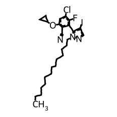 CCCCCCCCCCCCCCn1ncc(I)c1-c1c(F)c(Cl)cc(OC2CC2)c1C#N